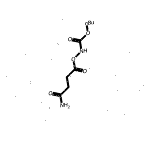 CCCCOC(=O)NOC(=O)CCC(N)=O